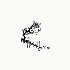 CSC(=O)NCCCCCCNC(=O)NC(C)CCC(C)NC(=O)C(CCC[Si](C)(C)O[Si](C)(C)C)CC(=O)O